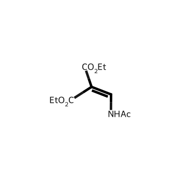 CCOC(=O)C(=CNC(C)=O)C(=O)OCC